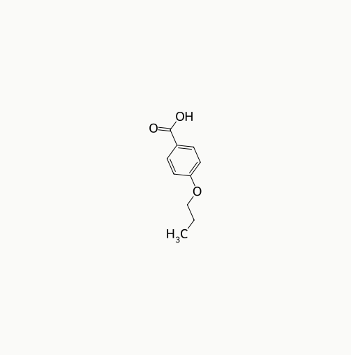 CCCOc1ccc(C(=O)O)cc1